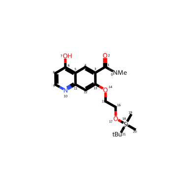 CNC(=O)c1cc2c(O)ccnc2cc1OCCO[Si](C)(C)C(C)(C)C